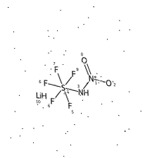 O=[N+]([O-])NS(F)(F)(F)(F)F.[LiH]